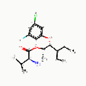 CCC(CC)[C@@H](Oc1cc(F)cc(Cl)c1)[C@H](C)OC(=O)[C@@H](N)C(C)C